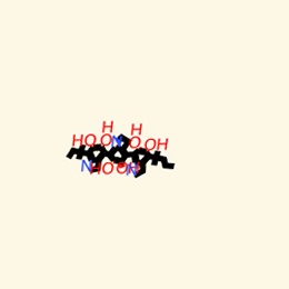 CCCC(C)(C)c1c(O)c(O)c(-c2c(O)c(O)c(-c3c(O)c(O)c(C(C)(C)CC)c4c3CC=N4)c3c2CC=N3)c2c1CC=N2